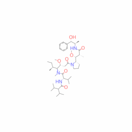 CC[C@H](C)[C@@H]([C@@H](CC(=O)N1CCC[C@H]1[C@H](OC)[C@@H](C)C(=O)N[C@H](C)[C@@H](O)c1ccccc1)OC)N(C)C(=O)[C@@H](NC(=O)C(C(C)C)C(C)C)C(C)C